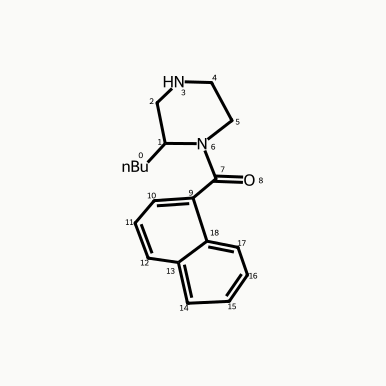 CCCCC1CNCCN1C(=O)c1cccc2ccccc12